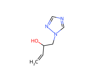 C=CC(O)Cn1cncn1